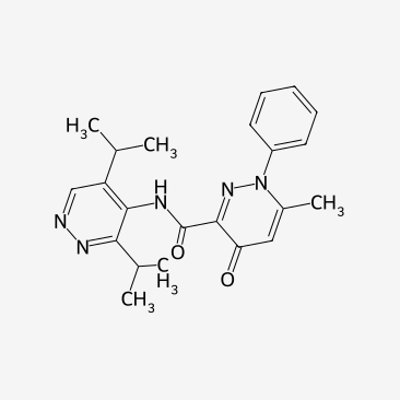 Cc1cc(=O)c(C(=O)Nc2c(C(C)C)cnnc2C(C)C)nn1-c1ccccc1